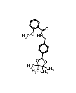 COc1ccccc1C(=O)NCc1ccc(C2OC(C)(C)C(C)(C)O2)cc1